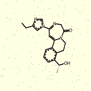 CCc1cn(C2=NCC(=O)N3CCc4c(cccc4[C@@H](C)O)C3=C2)cn1